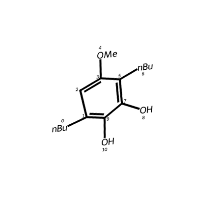 CCCCc1cc(OC)c(CCCC)c(O)c1O